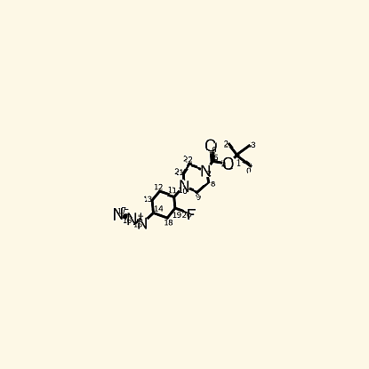 CC(C)(C)OC(=O)N1CCN(C2CCC(N=[N+]=[N-])CC2F)CC1